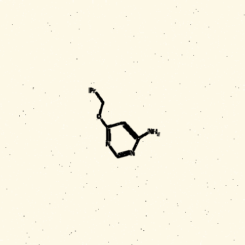 CC(C)COc1cc(N)ncn1